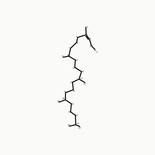 CC(=CCI)CCCC(C)CCCC(C)CCCC(C)CCCC(C)C